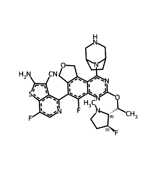 CC(Oc1nc(N2C3CCC2CNC3)c2c3c(c(-c4ncc(F)c5sc(N)c(C#N)c45)c(F)c2n1)COC3)[C@@H]1[C@@H](F)CCN1C